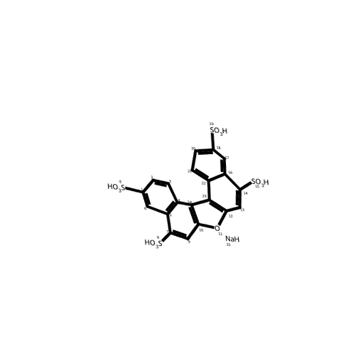 O=S(=O)(O)c1ccc2c(c1)c(S(=O)(=O)O)cc1oc3cc(S(=O)(=O)O)c4cc(S(=O)(=O)O)ccc4c3c12.[NaH]